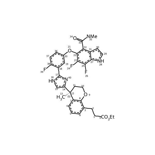 CCOC(=O)CCc1cccc2c1OCC[C@]2(C)c1c[nH]c(-c2cc(Oc3c(F)c(F)c4[nH]ccc4c3C(=O)NC)ccc2F)n1